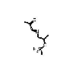 C[SiH2]OC(C)CN=NC(C)=O